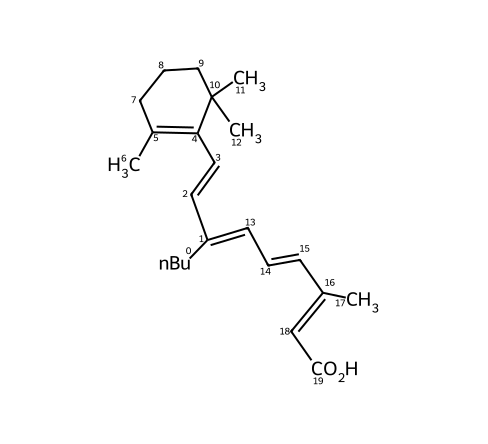 CCCCC(C=CC1=C(C)CCCC1(C)C)=CC=CC(C)=CC(=O)O